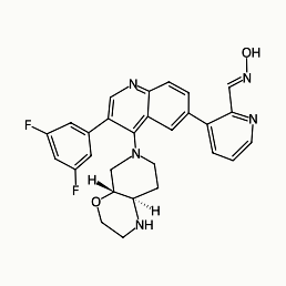 O/N=C/c1ncccc1-c1ccc2ncc(-c3cc(F)cc(F)c3)c(N3CC[C@H]4NCCO[C@@H]4C3)c2c1